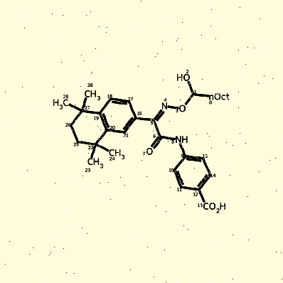 CCCCCCCCC(O)ON=C(C(=O)Nc1ccc(C(=O)O)cc1)c1ccc2c(c1)C(C)(C)CCC2(C)C